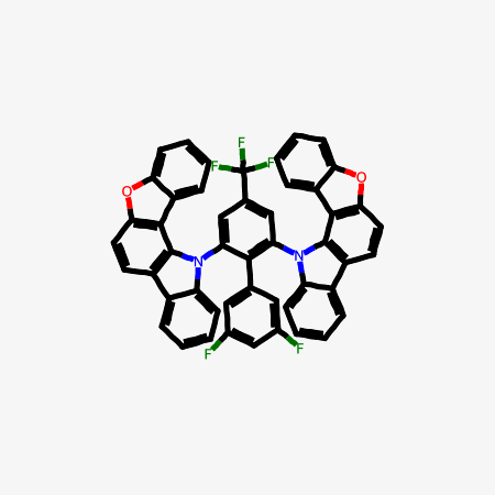 Fc1cc(F)cc(-c2c(-n3c4ccccc4c4ccc5oc6ccccc6c5c43)cc(C(F)(F)F)cc2-n2c3ccccc3c3ccc4oc5ccccc5c4c32)c1